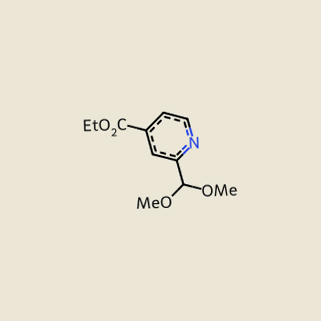 CCOC(=O)c1ccnc(C(OC)OC)c1